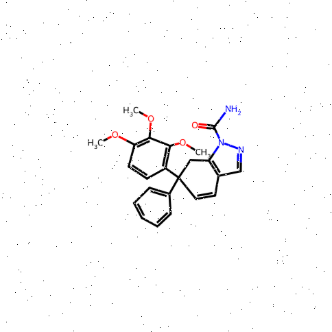 COc1ccc(C2(c3ccccc3)C=Cc3[c]nn(C(N)=O)c3C2)c(OC)c1OC